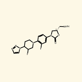 CC(=O)NC[C@H]1CN(c2ccc(N3CCC(n4ccnn4)C(F)C3)c(F)c2)C(=O)O1